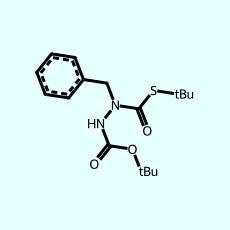 CC(C)(C)OC(=O)NN(Cc1ccccc1)C(=O)SC(C)(C)C